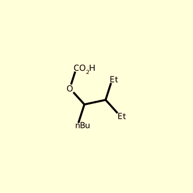 CCCCC(OC(=O)O)C(CC)CC